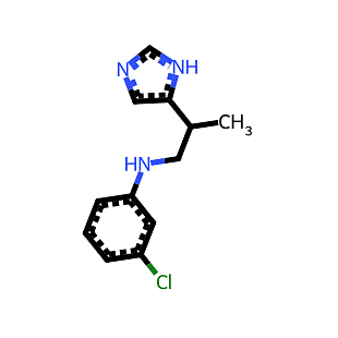 CC(CNc1cccc(Cl)c1)c1cnc[nH]1